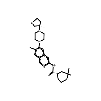 Cc1cc2cnc(NC(=O)[C@H]3CCOC(C)(C)C3)cc2cc1N1CCN([C@]2(C)CCOC2)CC1